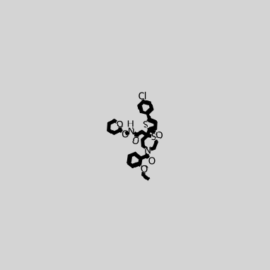 CCOc1ccccc1C(=O)N1CCC(CC(=O)NOC2CCCCO2)(c2ccc(-c3ccc(Cl)cc3)s2)S(=O)(=O)CC1